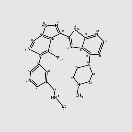 CCNCc1cncc(-c2ncc3[nH]nc(-c4nc5c(N6CCN(C)CC6)ccnc5[nH]4)c3c2F)c1